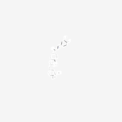 O=C(/C=C/c1ccc(F)c(Cl)c1)N1CCC(=O)N(CC(O)CN2CCC3(CC3)[C@H](O)C2)CC1